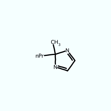 CCCC1(C)N=CC=N1